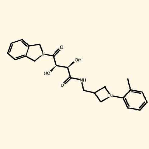 Cc1ccccc1N1CC(CNC(=O)[C@H](O)[C@@H](O)C(=O)N2Cc3ccccc3C2)C1